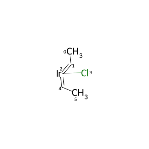 C/[CH]=[Ir](\[Cl])=[CH]/C